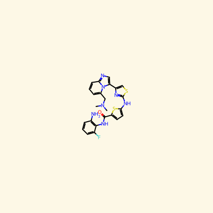 CN(C)Cc1cccc2ncc(-c3csc(Nc4ccc(C(=O)Nc5c(N)cccc5F)s4)n3)n12